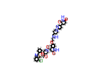 CNC(=O)C1(Oc2ccccc2-c2nc3cccc(Cl)c3s2)CCN(C(=O)[C@H]2CC(=O)Nc3ccc(OCCNCC4CCN(c5ccc(C6CCC(=O)NC6=O)cn5)CC4)cc32)CC1